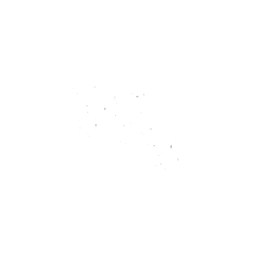 c1ccc(-c2nc3c4ccccc4c4ccccc4c3n2-c2cccc(-c3ccc4sc5ccccc5c4c3)c2)cc1